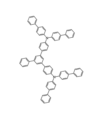 c1ccc(-c2ccc(N(c3ccc(-c4ccccc4)cc3)c3ccc(-c4cc(-c5ccccc5)cc(-c5ccc(N(c6ccc(-c7ccccc7)cc6)c6ccc(-c7ccccc7)cc6)cc5)c4)cc3)cc2)cc1